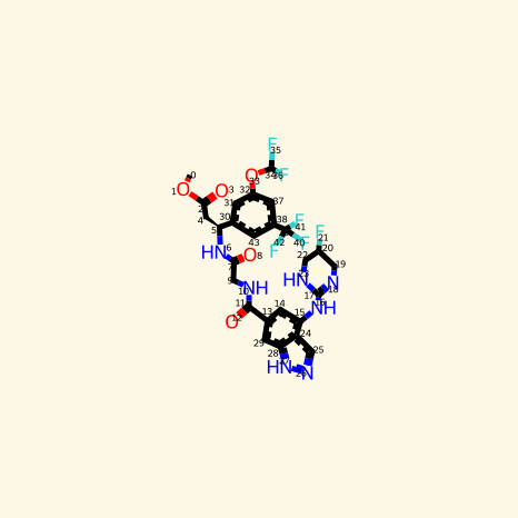 COC(=O)C[C@H](NC(=O)CNC(=O)c1cc(NC2=NCC(F)CN2)c2cn[nH]c2c1)c1cc(OC(F)F)cc(C(F)(F)F)c1